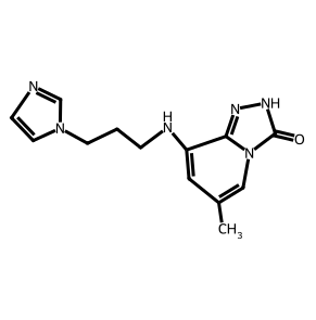 Cc1cc(NCCCn2ccnc2)c2n[nH]c(=O)n2c1